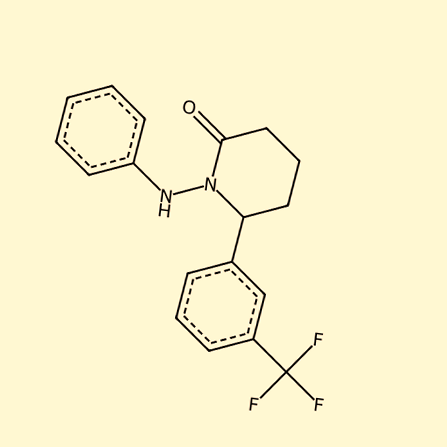 O=C1CCCC(c2cccc(C(F)(F)F)c2)N1Nc1ccccc1